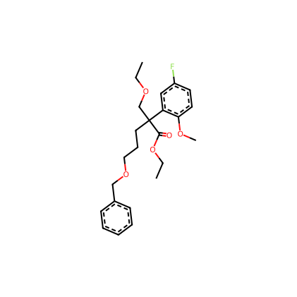 CCOCC(CCCOCc1ccccc1)(C(=O)OCC)c1cc(F)ccc1OC